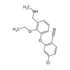 CCOc1c(CNC)cccc1Oc1cc(Cl)ccc1C#N